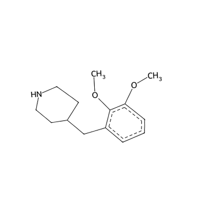 COc1cccc(CC2CCNCC2)c1OC